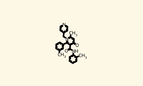 Cc1cccc(-c2c(C(=O)Nc3ccccc3C)c(=O)cc(C)n2Cc2ccncc2)c1